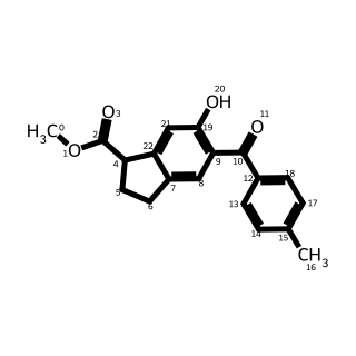 COC(=O)C1CCc2cc(C(=O)c3ccc(C)cc3)c(O)cc21